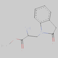 COC(=O)C(N)CN1C(=O)Cc2ccccc21